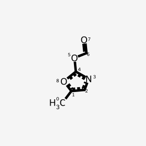 Cc1cnc(OC=O)o1